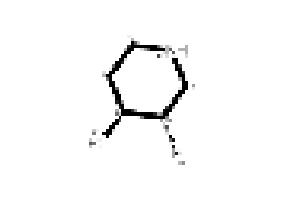 CC[C@H]1CCNC[C@@H]1F